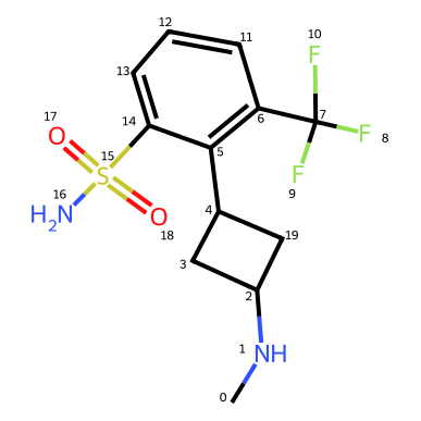 CNC1CC(c2c(C(F)(F)F)cccc2S(N)(=O)=O)C1